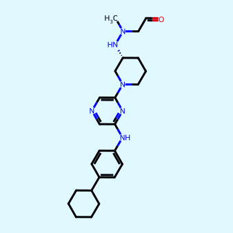 CN(CC=O)N[C@@H]1CCCN(c2cncc(Nc3ccc(C4CCCCC4)cc3)n2)C1